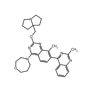 Cc1nc(-c2ccc3c(N4CCCOCC4)nc(OCC45CCCN4CCC5)nc3c2C)c2ccccc2n1